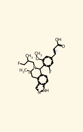 COc1cc(/C=C/C(=O)O)cc(F)c1C1c2ccc3[nH]ncc3c2C[C@@H](C)N1CC(C)CF